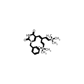 C[Si](C)(C)C=CC(C=C[Si](C)(C)C)=Cc1cn(Cc2ccccc2)c(=O)[nH]c1=O